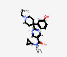 CCCC(C)CN1CCC(c2cccc(O)c2)(c2ncc(C(=O)N(C)C3CC3)cn2)CC1